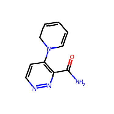 NC(=O)c1nnccc1N1C=CC=CC1